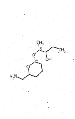 CCC(O)[C@@H](C)O[C@@H]1CCCC(CN)O1